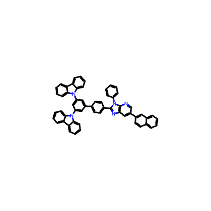 c1ccc(-n2c(-c3ccc(-c4cc(-n5c6ccccc6c6ccccc65)cc(-n5c6ccccc6c6ccccc65)c4)cc3)nc3cc(-c4ccc5ccccc5c4)cnc32)cc1